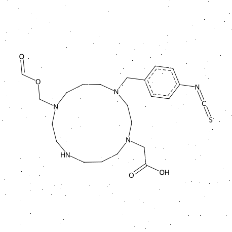 O=COCN1CCCN(Cc2ccc(N=C=S)cc2)CCN(CC(=O)O)CCCNCC1